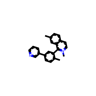 Cc1ccc2cc[n+](C)c(-c3cc(-c4cccnc4)ccc3C)c2c1